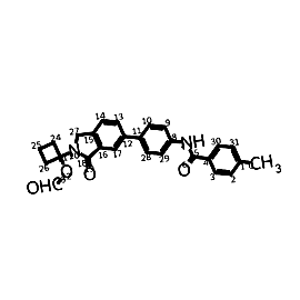 Cc1ccc(C(=O)Nc2ccc(-c3ccc4c(c3)C(=O)N(C3(OC=O)CCC3)C4)cc2)cc1